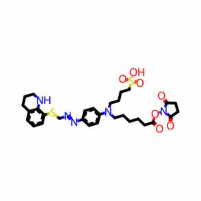 O=C(CCCCCN(CCCCS(=O)(=O)O)c1ccc(N=NCSc2cccc3c2NCCC3)cc1)ON1C(=O)CCC1=O